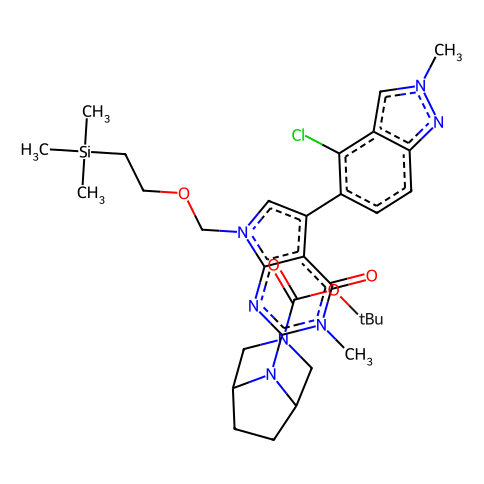 Cn1cc2c(Cl)c(-c3cn(COCC[Si](C)(C)C)c4nc(N5C6CCC5CN(C(=O)OC(C)(C)C)C6)n(C)c(=O)c34)ccc2n1